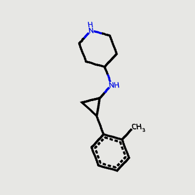 Cc1ccccc1C1CC1NC1CCNCC1